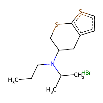 Br.CCCN(C(C)C)C1CSc2sccc2C1